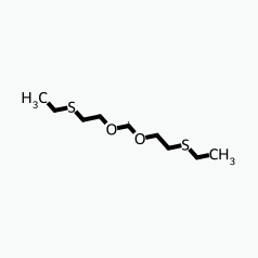 CCSCCO[CH]OCCSCC